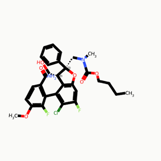 CCCCOC(=O)N(C)C[C@]1(c2ccccc2)Oc2cc(F)c(Cl)c(-c3c(C(N)=O)ccc(OC)c3F)c2[C@@H]1CO